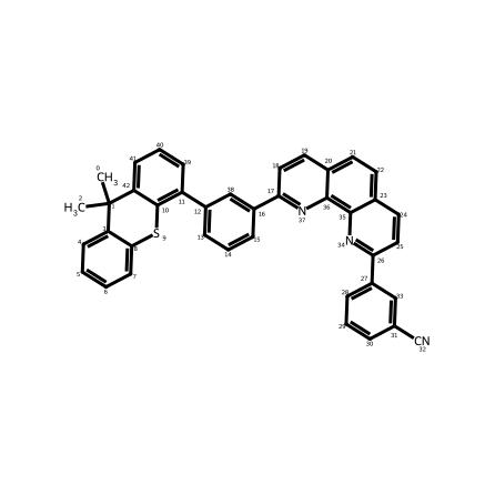 CC1(C)c2ccccc2Sc2c(-c3cccc(-c4ccc5ccc6ccc(-c7cccc(C#N)c7)nc6c5n4)c3)cccc21